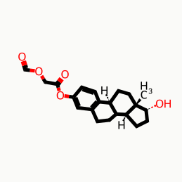 C[C@]12CC[C@@H]3c4ccc(OC(=O)COC=O)cc4CCC3[C@@H]1CC[C@H]2O